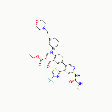 CCNC(=O)Nc1cc(-c2nc(C(F)(F)F)cs2)c(-c2ccc3c(c2)c(=O)c(C(=O)OCC)cn3[C@@H]2CCCN(CCN3CCOCC3)C2)cn1